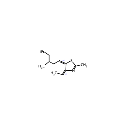 C/C=c1/nc(C)s/c1=C/CC(C)CC(C)C